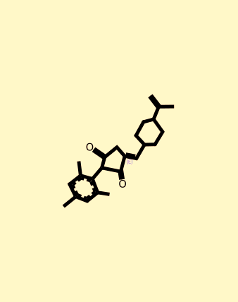 C=C(C)C1CCC(/C=C2\CC(=O)C(c3c(C)cc(C)cc3C)C2=O)CC1